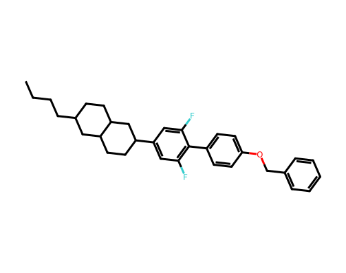 CCCCC1CCC2CC(c3cc(F)c(-c4ccc(OCc5ccccc5)cc4)c(F)c3)CCC2C1